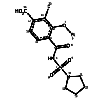 CCOc1c(C(=O)NS(=O)(=O)N2CCCC2)ccc(C(=O)O)c1F